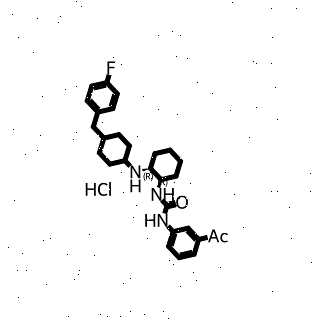 CC(=O)c1cccc(NC(=O)N[C@@H]2CCCC[C@H]2NC2CCC(Cc3ccc(F)cc3)CC2)c1.Cl